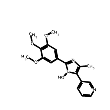 COc1cc(-c2nc(C)c(-c3cccnc3)n2O)cc(OC)c1OC